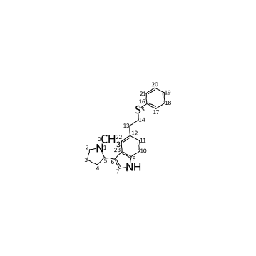 CN1CCCC1c1c[nH]c2ccc(CCSc3ccccc3)cc12